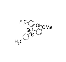 COc1cccc(C(c2cccc(C(F)(F)F)c2)S(=O)(=O)c2ccc(C)cc2)c1O